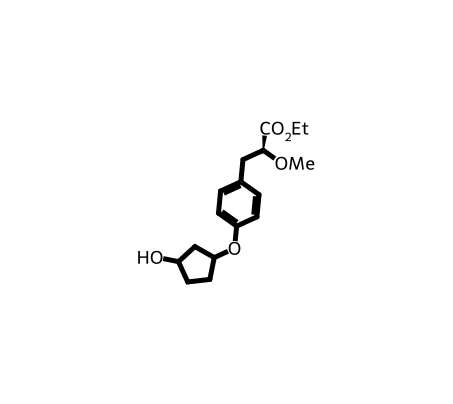 CCOC(=O)[C@H](Cc1ccc(OC2CCC(O)C2)cc1)OC